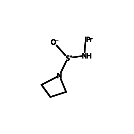 CC(C)N[S+]([O-])N1CCC1